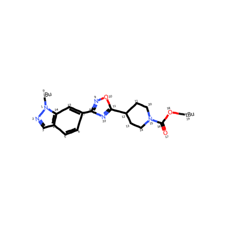 CCC(C)n1ncc2ccc(-c3noc(C4CCN(C(=O)OC(C)(C)C)CC4)n3)cc21